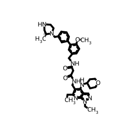 CCc1nc2c(cnn2CC)c(NC2CCOCC2)c1CNC(=O)CC(=O)NCc1ccc(OC)c(-c2cccc(CN3CCNC[C@@H]3C)c2)c1